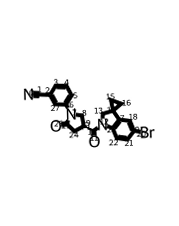 N#Cc1cccc(N2C[C@@H](C(=O)N3CC4(CC4)c4cc(Br)ccc43)CC2=O)c1